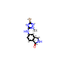 CCn1nc(Br)nc1Nc1ccc2c(c1)CNC2=O